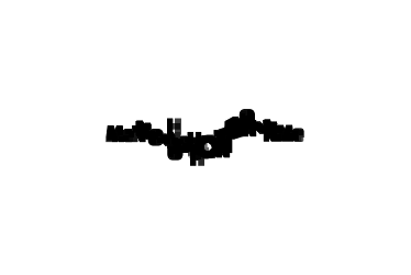 CNC(C)(C)CCNC(=O)c1ccc(Cn2nnc3c2CC[C@@H]2[C@H](CC3)[C@@H]2COC(=O)NCCOCCC(C)(C)NC)cc1